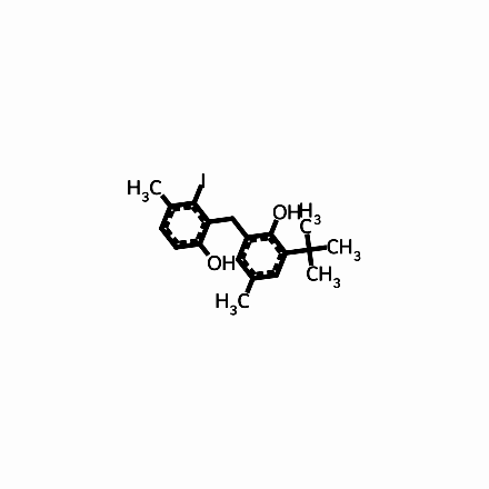 Cc1cc(Cc2c(O)ccc(C)c2I)c(O)c(C(C)(C)C)c1